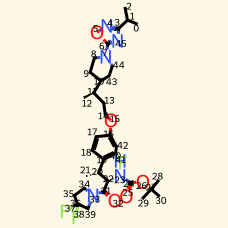 CC(C)c1noc(N2CCC([C@H](C)CCOc3ccc([C@@H](C)[C@H](NC(=O)OC(C)(C)C)C(=O)N4CCC(F)(F)C4)c(F)c3)CC2)n1